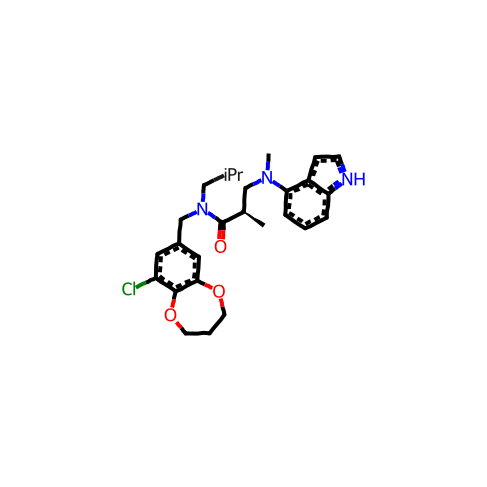 CC(C)CN(Cc1cc(Cl)c2c(c1)OCCCO2)C(=O)[C@H](C)CN(C)c1cccc2[nH]ccc12